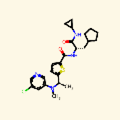 C[C@H](c1ccc(C(=O)N[C@@H](CC2CCCC2)C(=O)NC2CC2)s1)N(C)c1cncc(Cl)c1